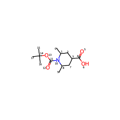 CC1CC(C(=O)O)CC(C)N1C(=O)OC(C)(C)C